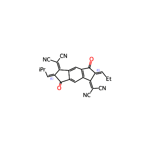 CC/C=c1/c(=O)c2cc3c(=C(C#N)C#N)/c(=C\C(C)C)c(=O)c3cc2c1=C(C#N)C#N